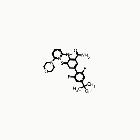 CC(C)(O)c1cc(F)c(C2=CC(C(N)=O)=C(Nc3cccc(N4CCOCC4)n3)C(=S)C2)c(F)c1